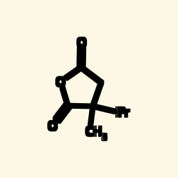 CC(C)C1(C)CC(=O)OC1=O